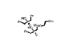 CC(C)CP(=O)(O)CC(C)C.CC(C)CP(=O)(O)CC(C)C.OCCO